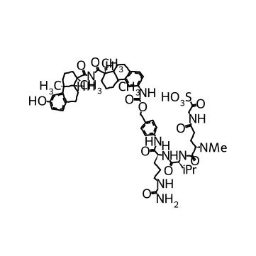 CN[C@H](CCC(=O)NCC(=O)S(=O)(=O)O)C(=O)N[C@H](C(=O)N[C@@H](CCCNC(N)=O)C(=O)Nc1ccc(COC(=O)Nc2ccc3c(c2)[C@@]2(C)CCC[C@](C)(C(=O)NC(=O)[C@@]4(C)CCC[C@]5(C)c6cc(O)ccc6CC[C@@H]45)[C@@H]2CC3)cc1)C(C)C